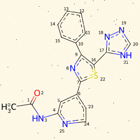 CC(=O)Nc1cc(-c2nc(-c3ccccc3)c(-c3nnc[nH]3)s2)ccn1